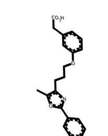 Cc1oc(-c2ccccc2)nc1CCCOc1cccc(CC(=O)O)c1